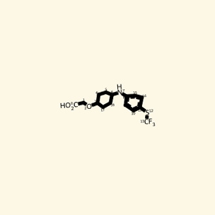 O=C(O)COC1CCC(Nc2ccc(SC(F)(F)F)cc2)CC1